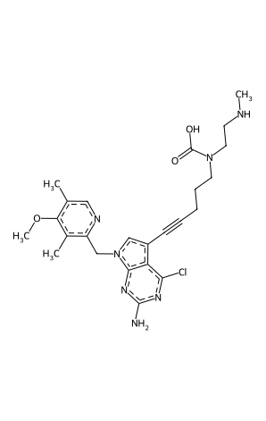 CNCCN(CCCC#Cc1cn(Cc2ncc(C)c(OC)c2C)c2nc(N)nc(Cl)c12)C(=O)O